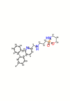 Cc1ccc(-c2ccc(CNCCCP3(=O)NCCCO3)nc2-c2ccccc2)cc1